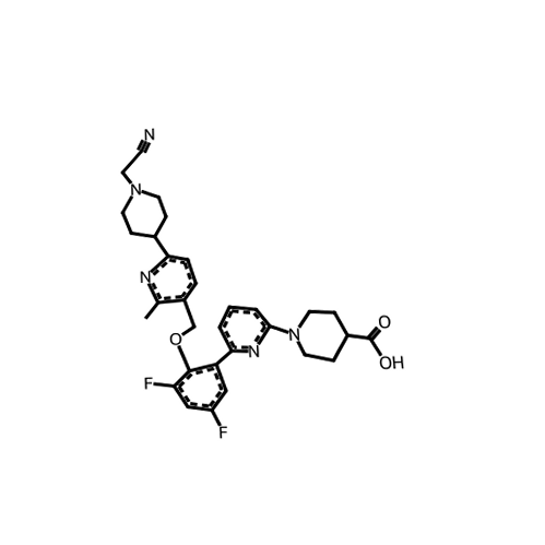 Cc1nc(C2CCN(CC#N)CC2)ccc1COc1c(F)cc(F)cc1-c1cccc(N2CCC(C(=O)O)CC2)n1